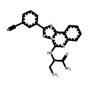 CCC(Nc1nc2ccccc2c2nc(-c3cccc(C#N)c3)nn12)C(N)=O